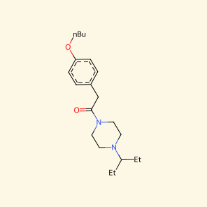 CCCCOc1ccc(CC(=O)N2CCN(C(CC)CC)CC2)cc1